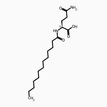 CCCCCCCCCCCCC(=O)N[C@@H](CCC(N)=O)C(=O)O